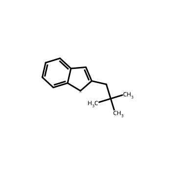 CC(C)(C)CC1=Cc2ccccc2[C]1